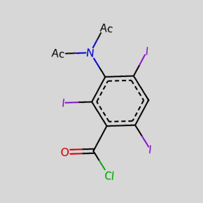 CC(=O)N(C(C)=O)c1c(I)cc(I)c(C(=O)Cl)c1I